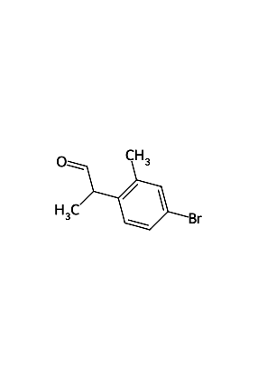 Cc1cc(Br)ccc1C(C)C=O